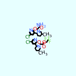 CC1CCC(c2cncc(Cl)c2)N(C(=O)C(=O)OCC(F)(F)F)C1.CC1CCC(c2cncc(Cl)c2)N(C(=O)C(N)=O)C1